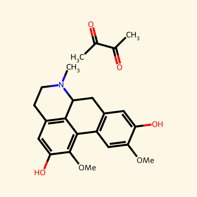 CC(=O)C(C)=O.COc1cc2c(cc1O)CC1c3c(cc(O)c(OC)c3-2)CCN1C